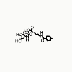 O=C(O)C[C@H](NC(=O)O[C@@H](CCCCNC(=O)c1ccc(I)cc1)C(=O)O)C(=O)O